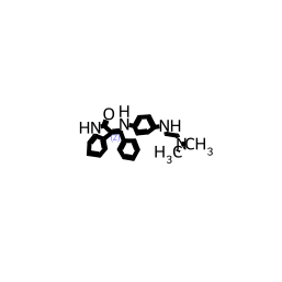 CN(C)CCNc1ccc(N/C(=C2\C(=O)Nc3ccccc32)c2ccccc2)cc1